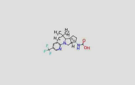 CC(C)(C)C1[C@H]2CC[C@H](NC(=O)O)[C@H]2CN1c1ccc(C(F)(F)F)cn1